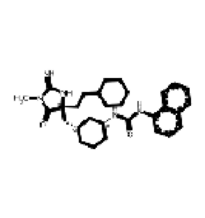 CN1C(=N)N[C@](CCC2CCCCC2)(C[C@H]2CCC[C@@H](NC(=O)Nc3cccc4ccccc34)C2)C1=O